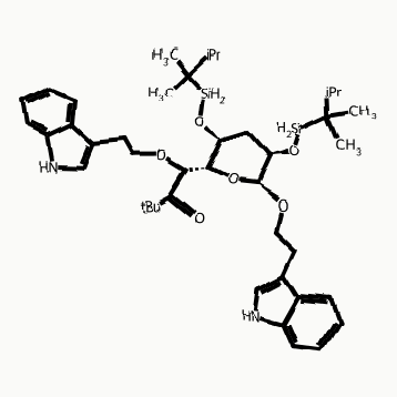 CC(C)C(C)(C)[SiH2]O[C@H]1C[C@@H](O[SiH2]C(C)(C)C(C)C)[C@@H](OCCc2c[nH]c3ccccc23)O[C@@H]1C(OCCc1c[nH]c2ccccc12)C(=O)C(C)(C)C